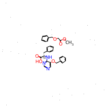 COC(=O)COCc1ccccc1.O=C(O)[C@H](Cc1ccccc1)Nc1ncncc1OCc1ccccc1